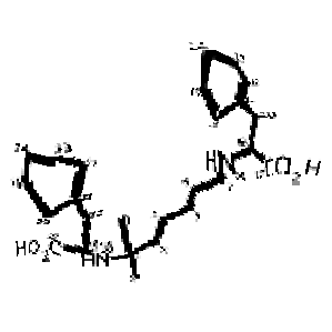 CC(C)(CCCCCNC(Cc1ccccc1)C(=O)O)NC(Cc1ccccc1)C(=O)O